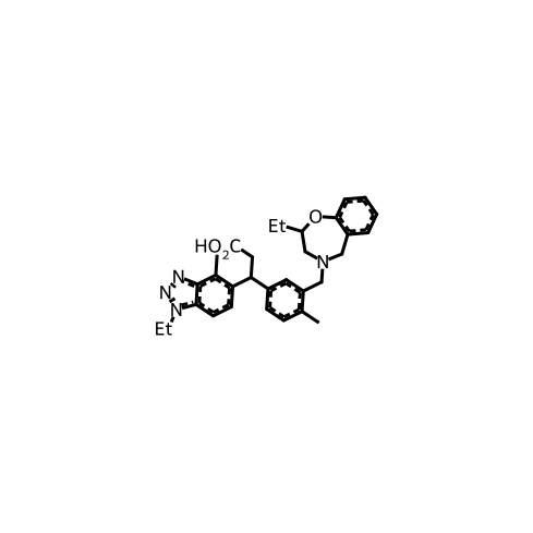 CCC1CN(Cc2cc(C(CC(=O)O)c3ccc4c(nnn4CC)c3C)ccc2C)Cc2ccccc2O1